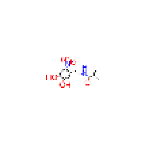 C=C(C)C(=O)NCCc1cc(O)c(O)cc1[N+](=O)[O-]